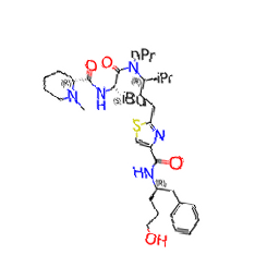 CCCN(C(=O)C(NC(=O)[C@H]1CCCCN1C)[C@@H](C)CC)[C@H](CCc1nc(C(=O)N[C@H](CCCO)Cc2ccccc2)cs1)C(C)C